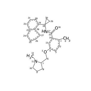 Cc1ccc(OCC2CCCN2C)cc1C(=O)NC1(c2cccc3ccccc23)CC1